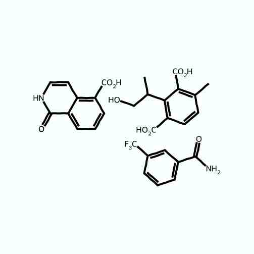 Cc1ccc(C(=O)O)c(C(C)CO)c1C(=O)O.NC(=O)c1cccc(C(F)(F)F)c1.O=C(O)c1cccc2c(=O)[nH]ccc12